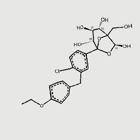 CCOc1ccc(Cc2cc(C34O[C@H](O)C(CO)(O3)[C@@H](O)[C@H](O)[C@H]4O)ccc2Cl)cc1